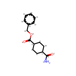 NC(=O)C1CCC(C(=O)OCc2ccccc2)CC1